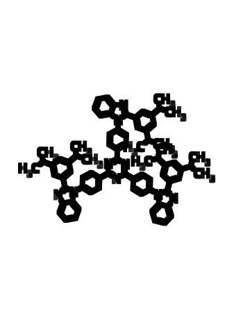 CC(C)c1cc(-c2nc3ccccc3n2-c2ccc(-c3nc(-c4ccc(-n5c(-c6cc(C(C)C)cc(C(C)C)c6)nc6ccccc65)cc4)nc(-c4ccc(-n5c(-c6cc(C(C)C)cc(C(C)C)c6)nc6ccccc65)cc4)n3)cc2)cc(C(C)C)c1